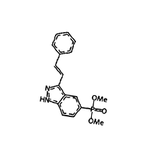 COP(=O)(OC)c1ccc2[nH]nc(C=Cc3ccccc3)c2c1